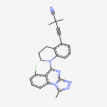 Cc1nnc2nc(N3CCCc4c(C#CC(C)(C)C#N)cccc43)c3c(F)cccc3n12